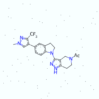 CC(=O)N1CCc2[nH]nc(N3CCc4cc(-c5cn(C)nc5C(F)(F)F)ccc43)c2C1